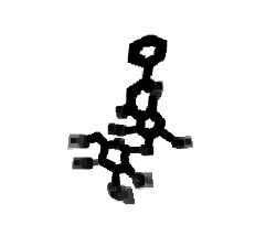 O=c1cc(-c2ccccc2)oc2cc(O)c(O[C@@H]3OC(CO)[C@@H](O)[C@H](O)C3O)c(O)c12